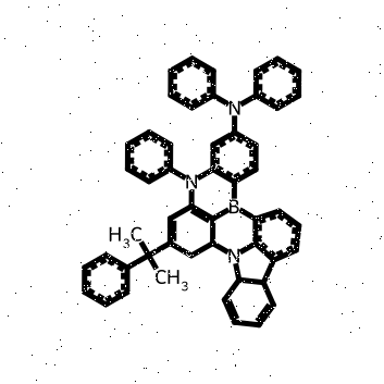 CC(C)(C1=CC2=C3B(c4ccc(N(c5ccccc5)c5ccccc5)cc4N2c2ccccc2)c2cccc4c2N(C3C1)C1C=CC=CC41)c1ccccc1